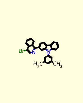 Cc1cc(C)cc(-n2c3ccccc3c3ccc(-c4ncc(Br)c5ccccc45)cc32)c1